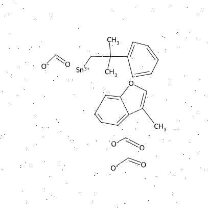 CC(C)([CH2][Sn+3])c1ccccc1.Cc1coc2ccccc12.O=C[O-].O=C[O-].O=C[O-]